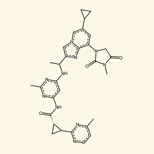 Cc1ccnc(C2C[C@@H]2C(=O)Nc2cc(NC(C)c3cn4cc(C5CC5)cc(N5CC(=O)N(C)C5=O)c4n3)nc(C)n2)n1